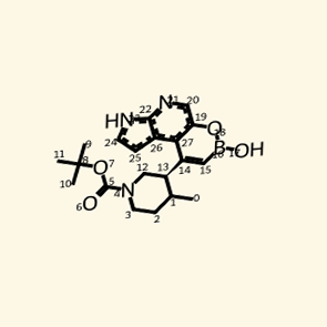 CC1CCN(C(=O)OC(C)(C)C)C[C@H]1C1=CB(O)Oc2cnc3[nH]ccc3c21